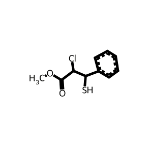 COC(=O)C(Cl)C(S)c1ccccc1